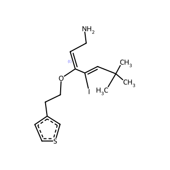 CC(C)(C)C=C(I)/C(=C\CN)OCCc1ccsc1